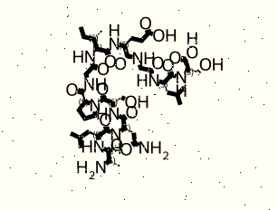 CC[C@H](C)[C@H](NC(=O)CNC(=O)[C@@H]1CCCN1C(=O)[C@H](CO)NC(=O)[C@H](CC(N)=O)NC(=O)[C@H](CC(C)C)NC(=O)[C@H](C)N)C(=O)N[C@@H](CCC(=O)O)C(=O)NCC(=O)N[C@@H](CC(C)C)C(=O)N[C@@H](CO)C(=O)O